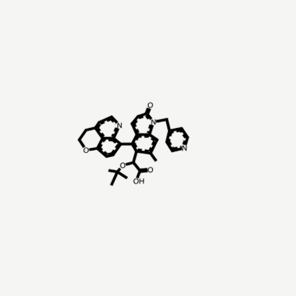 Cc1cc2c(ccc(=O)n2Cc2ccncc2)c(-c2ccc3c4c(ccnc24)CCO3)c1C(OC(C)(C)C)C(=O)O